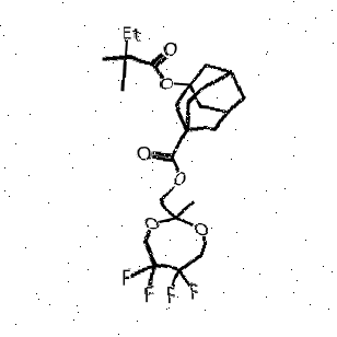 CCC(C)(C)C(=O)OC12CC3CC(C1)CC(C(=O)OCC1(C)OCC(F)(F)C(F)(F)CO1)(C3)C2